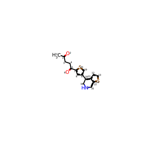 CC(=O)CCC(=O)c1cc(C2=c3ccsc3=CNC2)cs1